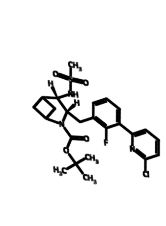 CC(C)(C)OC(=O)N1C2CC(C2)[C@H](NS(C)(=O)=O)[C@@H]1Cc1cccc(-c2cccc(Cl)n2)c1F